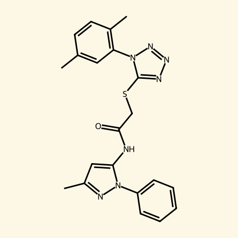 Cc1ccc(C)c(-n2nnnc2SCC(=O)Nc2cc(C)nn2-c2ccccc2)c1